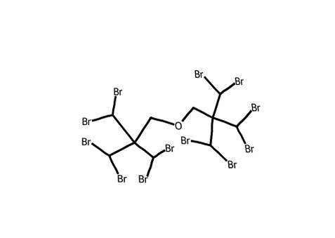 BrC(Br)C(COCC(C(Br)Br)(C(Br)Br)C(Br)Br)(C(Br)Br)C(Br)Br